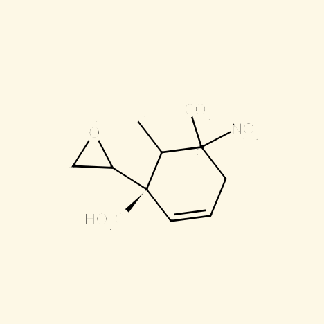 CC1C(C(=O)O)([N+](=O)[O-])CC=C[C@]1(C(=O)O)C1CO1